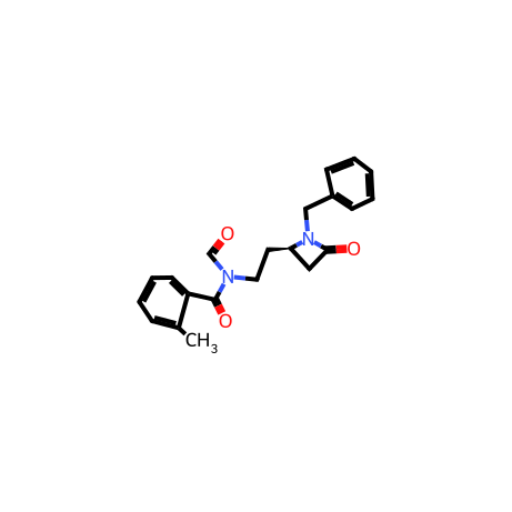 Cc1ccccc1C(=O)N(C=O)CC[C@@H]1CC(=O)N1Cc1ccccc1